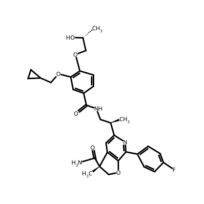 C[C@H](CNC(=O)c1ccc(OC[C@@H](C)O)c(OCC2CC2)c1)c1cc2c(c(-c3ccc(F)cc3)n1)OC[C@]2(C)C(N)=O